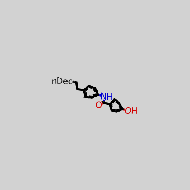 CCCCCCCCCCCCc1ccc(NC(=O)c2ccc(O)cc2)cc1